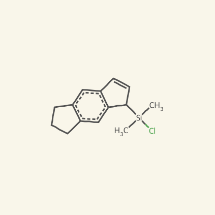 C[Si](C)(Cl)C1C=Cc2cc3c(cc21)CCC3